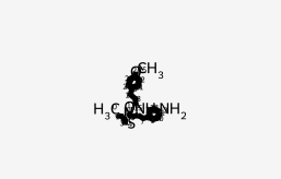 CCc1csc(C(Cc2ccc(N)cc2)NC(=O)CCc2ccc(OC)cc2)n1